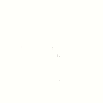 N#Cc1nn(Cc2ccccc2F)c2cc(F)ccc12